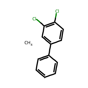 C.Clc1ccc(-c2cc[c]cc2)cc1Cl